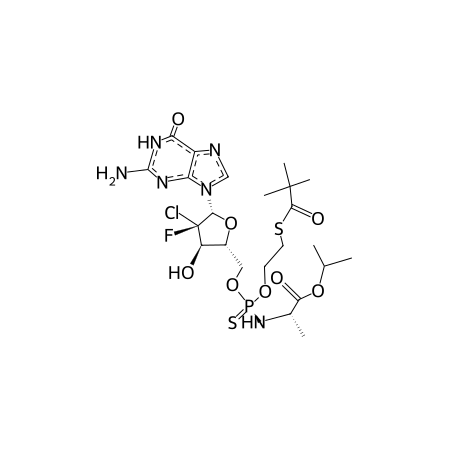 CC(C)OC(=O)[C@H](C)N[P@](=S)(OCCSC(=O)C(C)(C)C)OC[C@H]1O[C@@H](n2cnc3c(=O)[nH]c(N)nc32)[C@@](F)(Cl)[C@@H]1O